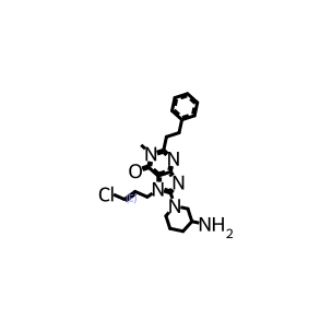 Cn1c(CCc2ccccc2)nc2nc(N3CCCC(N)C3)n(C/C=C/Cl)c2c1=O